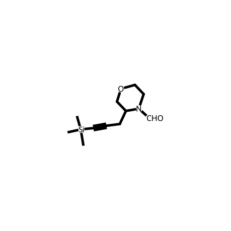 C[Si](C)(C)C#CCC1COCCN1C=O